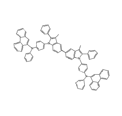 Cc1c(-c2ccccc2)n(-c2ccc(N(c3ccccc3)c3cc4ccccc4c4ccccc34)cc2)c2ccc(-c3ccc4c(c3)c(C)c(-c3ccccc3)n4-c3ccc(N(c4ccccc4)c4cc5ccccc5c5ccccc45)cc3)cc12